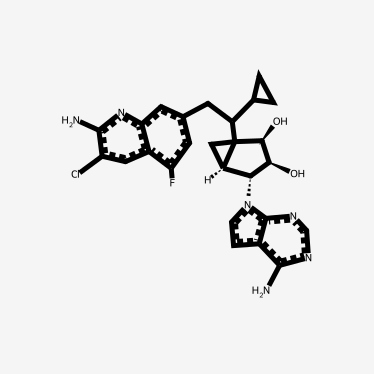 Nc1nc2cc(CC(C3CC3)C34C[C@@H]3[C@@H](n3ccc5c(N)ncnc53)[C@H](O)[C@@H]4O)cc(F)c2cc1Cl